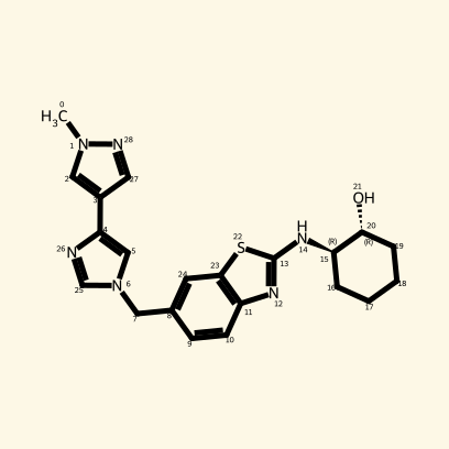 Cn1cc(-c2cn(Cc3ccc4nc(N[C@@H]5CCCC[C@H]5O)sc4c3)cn2)cn1